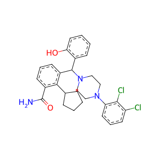 NC(=O)c1cccc(C(c2ccccc2O)N2CCN(c3cccc(Cl)c3Cl)CC2)c1C1CCCC1